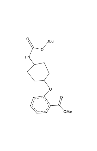 COC(=O)c1ccccc1OC1CCC(NC(=O)OC(C)(C)C)CC1